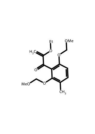 C=C(OCC)C(=O)c1c(OCOC)ccc(C)c1OCOC